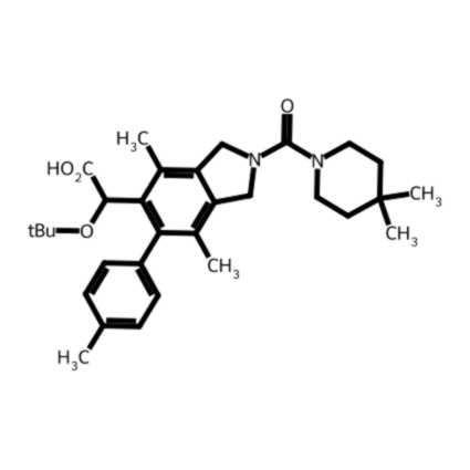 Cc1ccc(-c2c(C)c3c(c(C)c2C(OC(C)(C)C)C(=O)O)CN(C(=O)N2CCC(C)(C)CC2)C3)cc1